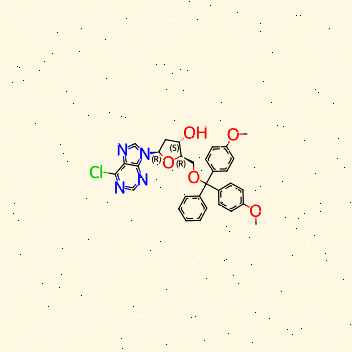 COc1ccc(C(OC[C@H]2O[C@@H](n3cnc4c(Cl)ncnc43)C[C@@H]2O)(c2ccccc2)c2ccc(OC)cc2)cc1